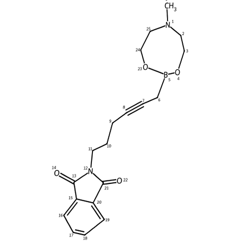 CN1CCOB(CC#CCCCN2C(=O)c3ccccc3C2=O)OCC1